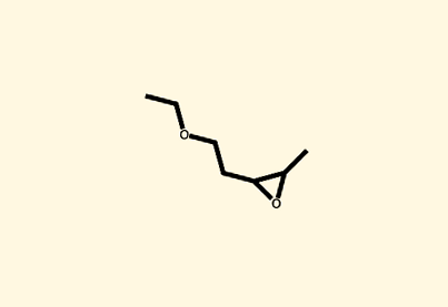 CCOCCC1OC1C